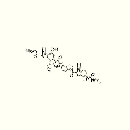 COC(=O)c1cc2c3c(cc(O)c2[nH]1)N(C(=O)c1cc2c4c(ccc2[nH]1)N(C(=O)c1cc2c5c(ccc2[nH]1)N(C(N)=O)CC5)CC4)CC3CCl